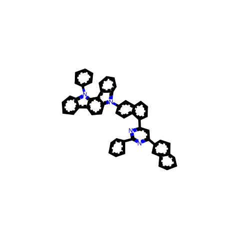 c1ccc(-c2nc(-c3ccc4ccccc4c3)cc(-c3cccc4cc(-n5c6ccccc6c6c5ccc5c7ccccc7n(-c7ccccc7)c56)ccc34)n2)cc1